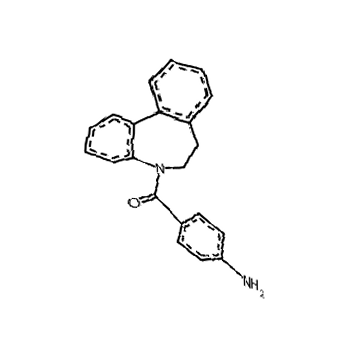 Nc1ccc(C(=O)N2CCc3ccccc3-c3ccccc32)cc1